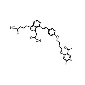 CC(=O)c1cc(Cl)c(C)cc1OCCCCOc1ccc(C=Cc2cccc3c(CCCC(=O)O)cn(CC(=O)O)c23)cc1